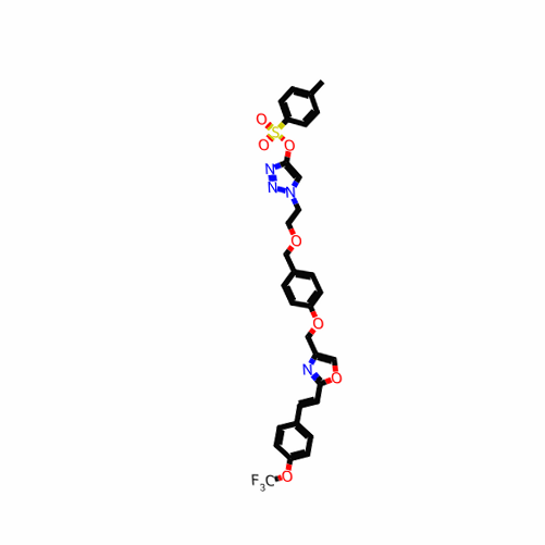 Cc1ccc(S(=O)(=O)Oc2cn(CCOCc3ccc(OCc4coc(C=Cc5ccc(OC(F)(F)F)cc5)n4)cc3)nn2)cc1